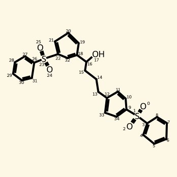 O=S(=O)(c1ccccc1)c1ccc(CCCC(O)c2cccc(S(=O)(=O)c3ccccc3)c2)cc1